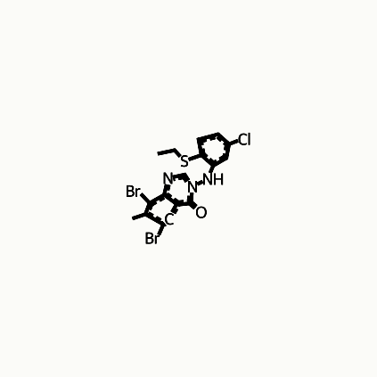 CCSc1ccc(Cl)cc1Nn1cnc2c(Br)c(C)c(Br)cc2c1=O